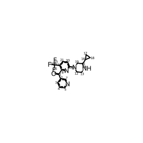 O=C(c1cccnc1)c1nc(N2CCNC(C3CC3)C2)ccc1C(F)(F)F